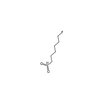 O=[SH](=O)CCCCCCF